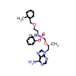 Cc1ccccc1COCCN(C)P(=O)(CO[C@H](C)Cn1cnc2c(N)ncnc21)Oc1ccccc1